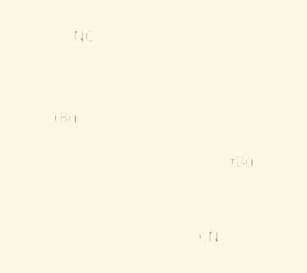 CC(C)(C)c1c(C#N)ccc2c(C(C)(C)C)c(C#N)ccc12